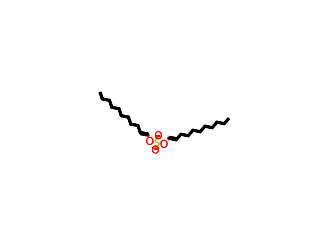 CCCCCCCCC/C=C/OS(=O)(=O)O/C=C/CCCCCCCCC